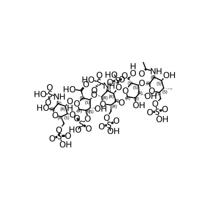 CC(=O)N[C@H]1[C@@H](O[C@H]2[C@H](O)[C@@H](O)[C@H](O[C@H]3[C@H](OS(=O)(=O)O)[C@@H](NS(=O)(=O)O)[C@@H](O[C@H]4[C@H](O)[C@@H](OS(=O)(=O)O)[C@H](O[C@H]5[C@H](O)[C@@H](NS(=O)(=O)O)[C@H](O)O[C@@H]5COS(=O)(=O)O)O[C@H]4C(=O)O)O[C@@H]3COS(=O)(=O)O)O[C@@H]2C(=O)O)O[C@H](COS(=O)(=O)O)[C@@H](C)[C@@H]1O